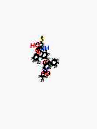 CSCC[C@H](NC(=O)c1ccc(COC2(Cc3ccccc3)CCN(C(=O)OC(C)(C)C)CC2)cc1-c1ccccc1C)C(=O)O